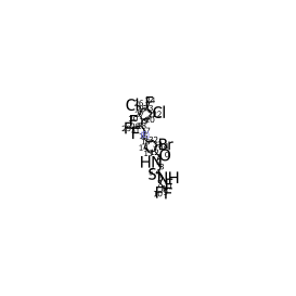 O=C(NCC(=S)NCC(F)(F)F)c1ccc(/C=C/C(c2cc(Cl)c(F)c(Cl)c2)C(F)(F)F)cc1Br